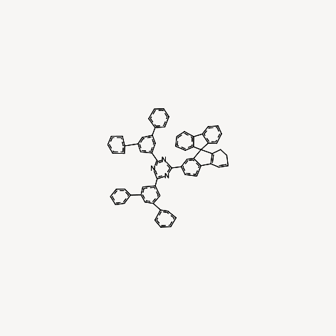 C1=CC2=C(CC1)C1(c3cc(-c4nc(-c5cc(-c6ccccc6)cc(-c6ccccc6)c5)nc(-c5cc(-c6ccccc6)cc(-c6ccccc6)c5)n4)ccc32)c2ccccc2-c2ccccc21